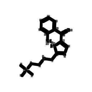 C[Si](C)(C)CCOCc1ncc(C(=O)c2ccccc2N)[nH]1